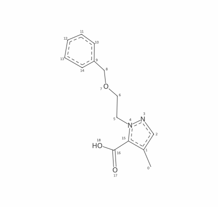 Cc1cnn(CCOCc2ccccc2)c1C(=O)O